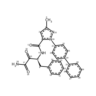 Cc1cc(C(=O)N[C@@H](Cc2ccccc2)C(=O)C(N)=O)n(-c2ccc(-c3ccccc3)cc2)n1